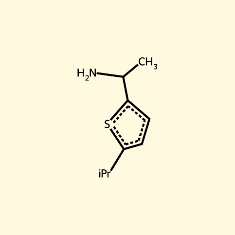 CC(C)c1ccc(C(C)N)s1